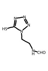 O=CNCCn1nnnc1S